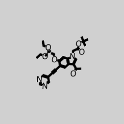 CCOP(COc1cc2c(cc1C#Cc1cncnc1)c(C(C)=O)cn2CC(=O)OC(C)(C)C)OCC